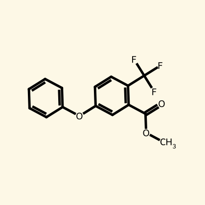 COC(=O)c1cc(Oc2ccccc2)ccc1C(F)(F)F